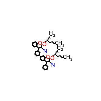 CCCCC(CC)COC(=O)C(C#N)=C(c1ccccc1)c1ccccc1.CCCCC(CC)COC(=O)C(C#N)=C(c1ccccc1)c1ccccc1